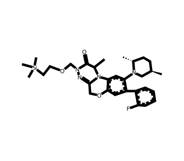 CC1C(=O)N(COCC[Si](C)(C)C)N=C2COc3cc(-c4ccccc4F)c(N4C[C@H](C)CC[C@H]4C)cc3N21